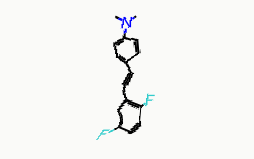 CN(C)c1ccc(C#Cc2cc(F)ccc2F)cc1